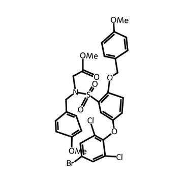 COC(=O)CN(Cc1ccc(OC)cc1)S(=O)(=O)c1cc(Oc2c(Cl)cc(Br)cc2Cl)ccc1OCc1ccc(OC)cc1